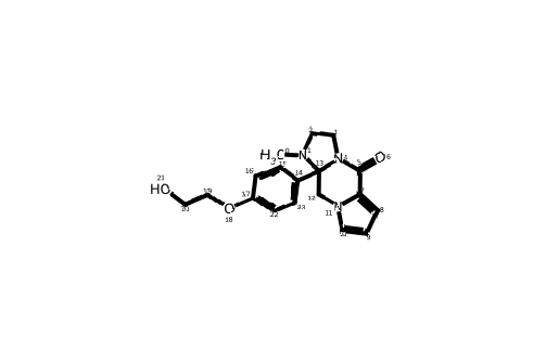 CN1CCN2C(=O)c3cccn3CC12c1ccc(OCCO)cc1